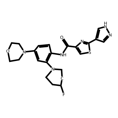 O=C(Nc1ccc(N2CCOCC2)cc1N1CCC(F)CC1)c1csc(-c2cn[nH]c2)n1